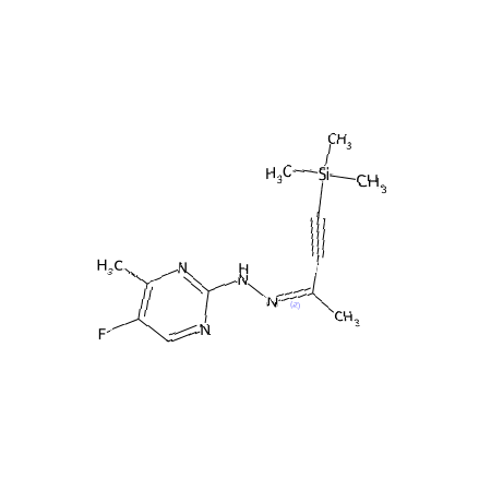 C/C(C#C[Si](C)(C)C)=N/Nc1ncc(F)c(C)n1